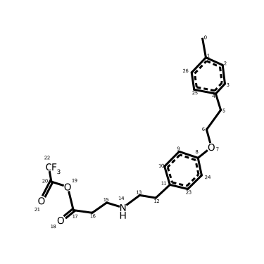 Cc1ccc(CCOc2ccc(CCNCCC(=O)OC(=O)C(F)(F)F)cc2)cc1